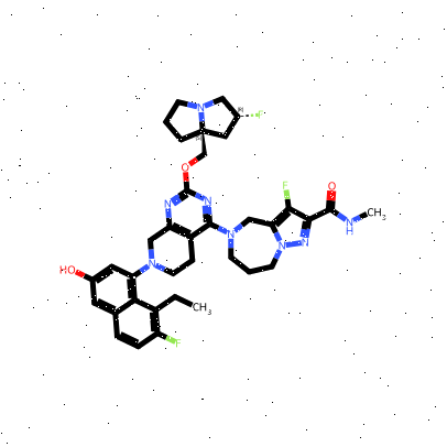 CCc1c(F)ccc2cc(O)cc(N3CCc4c(nc(OC[C@@]56CCCN5C[C@H](F)C6)nc4N4CCCn5nc(C(=O)NC)c(F)c5C4)C3)c12